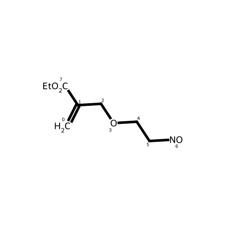 C=C(COCCN=O)C(=O)OCC